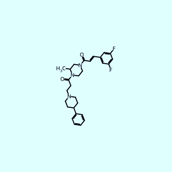 CC1CN(C(=O)/C=C/c2cc(F)cc(F)c2)CCN1C(=O)CCN1CCC(c2ccccc2)CC1